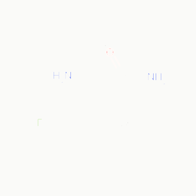 NC(=O)c1[c]ccc(F)c1N